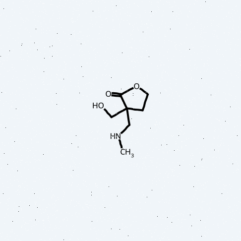 CNCC1(CO)CCOC1=O